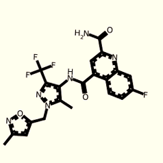 Cc1cc(Cn2nc(C(F)(F)F)c(NC(=O)c3cc(C(N)=O)nc4cc(F)ccc34)c2C)on1